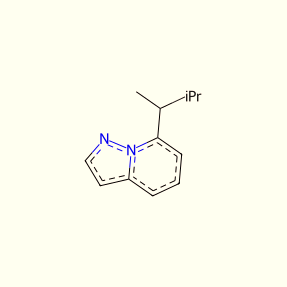 CC(C)C(C)c1cccc2ccnn12